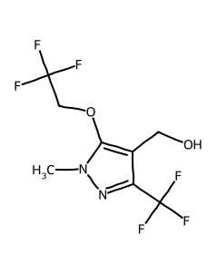 Cn1nc(C(F)(F)F)c(CO)c1OCC(F)(F)F